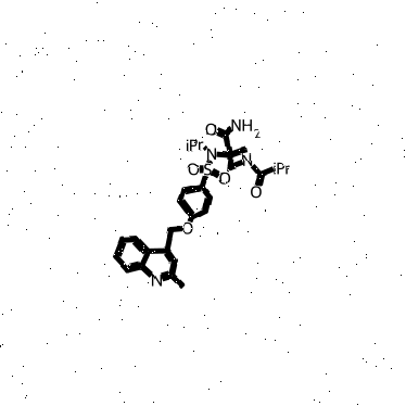 Cc1cc(COc2ccc(S(=O)(=O)N(C(C)C)C3(C(N)=O)CN(C(=O)C(C)C)C3)cc2)c2ccccc2n1